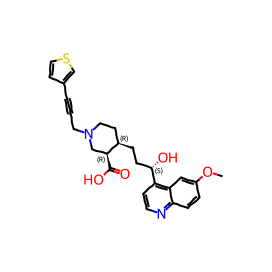 COc1ccc2nccc([C@@H](O)CC[C@@H]3CCN(CC#Cc4ccsc4)C[C@@H]3C(=O)O)c2c1